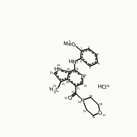 COc1ccccc1Nc1ncc(C(=O)N2CCOCC2)c2c(C)c[nH]c12.Cl